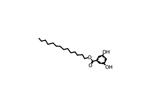 CCCCCCCCCCCCCCOC(=O)c1cc(O)cc(O)c1